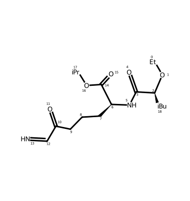 CCO[C@H](C(=O)N[C@@H](CCCC(=O)C=N)C(=O)OC(C)C)C(C)CC